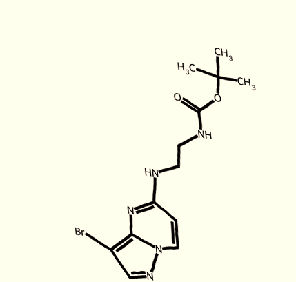 CC(C)(C)OC(=O)NCCNc1ccn2ncc(Br)c2n1